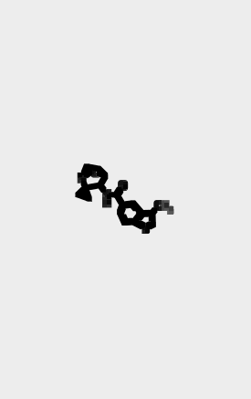 Cc1csc2ccc(C(=O)NC3C4CCN(CC4)C34CC4)cc12